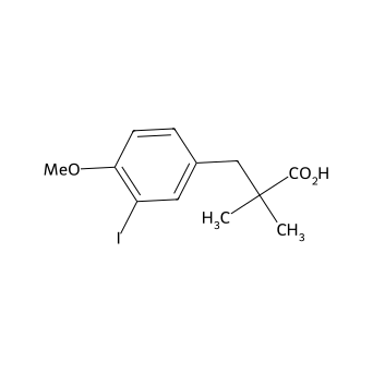 COc1ccc(CC(C)(C)C(=O)O)cc1I